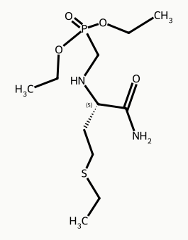 CCOP(=O)(CN[C@@H](CCSCC)C(N)=O)OCC